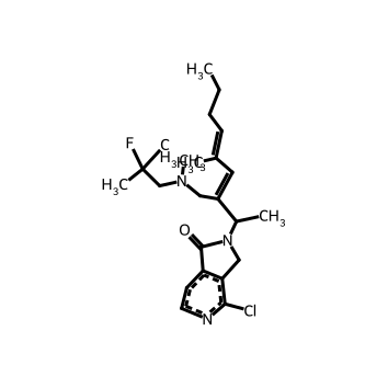 CCC/C=C(C)/C=C(\CN(C)CC(C)(C)F)C(C)N1Cc2c(ccnc2Cl)C1=O